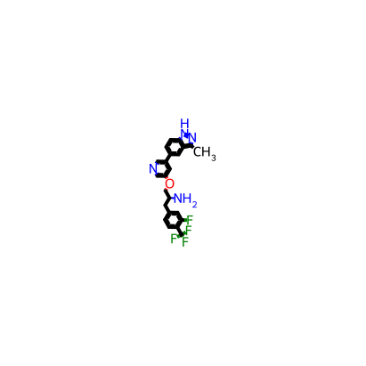 Cc1n[nH]c2ccc(-c3cncc(OC[C@@H](N)Cc4ccc(C(F)(F)F)c(F)c4)c3)cc12